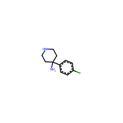 NC1(c2ccc(F)cc2)CCNCC1